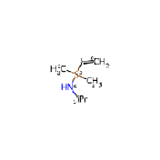 C=CS(C)(C)NC(C)C